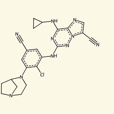 N#Cc1cc(Nc2nc(NC3CC3)c3ncc(C#N)n3n2)c(Cl)c(N2CCN3CCC2C3)c1